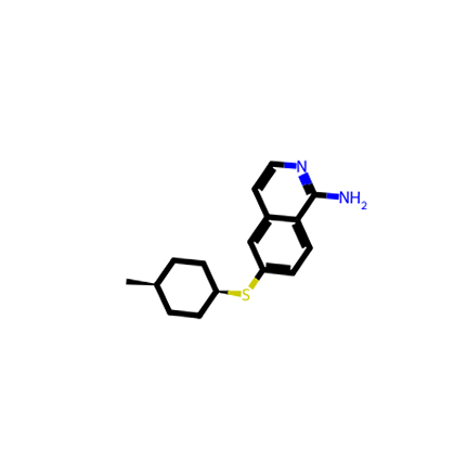 C[C@H]1CC[C@@H](Sc2ccc3c(N)nccc3c2)CC1